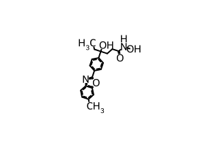 CCC(O)(CCC(=O)NO)c1ccc(-c2nc3ccc(C)cc3o2)cc1